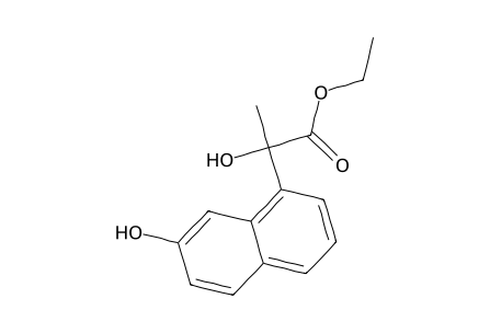 CCOC(=O)C(C)(O)c1cccc2ccc(O)cc12